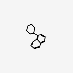 [c]1cc(C2CCCCC2)c2ccccc2c1